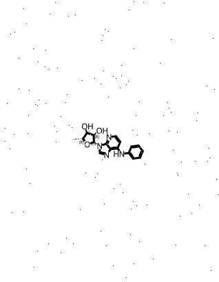 C[C@H]1O[C@@H](n2cnc3c(Nc4ccccc4)ccnc32)[C@H](O)[C@@H]1O